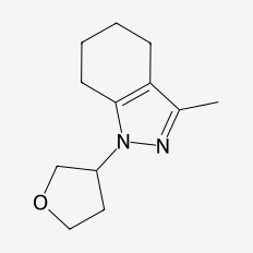 Cc1nn(C2CCOC2)c2c1CCCC2